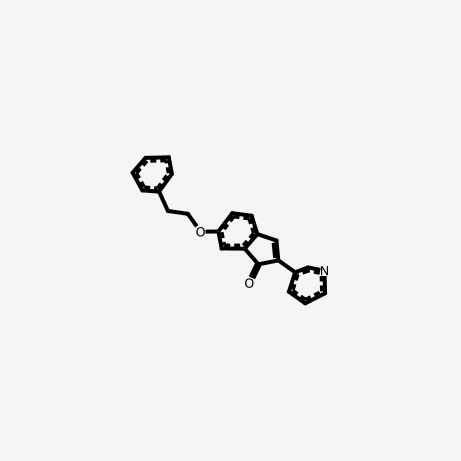 O=C1C(c2cccnc2)=Cc2ccc(OCCc3ccccc3)cc21